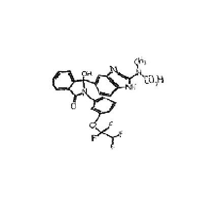 CN(C(=O)O)c1nc2cc(C3(O)c4ccccc4C(=O)N3c3cccc(OC(F)(F)C(F)F)c3)ccc2[nH]1